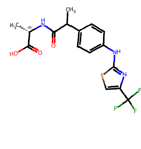 CC(C(=O)N[C@@H](C)C(=O)O)c1ccc(Nc2nc(C(F)(F)F)cs2)cc1